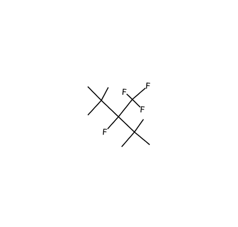 CC(C)(C)C(F)(C(C)(C)C)C(F)(F)F